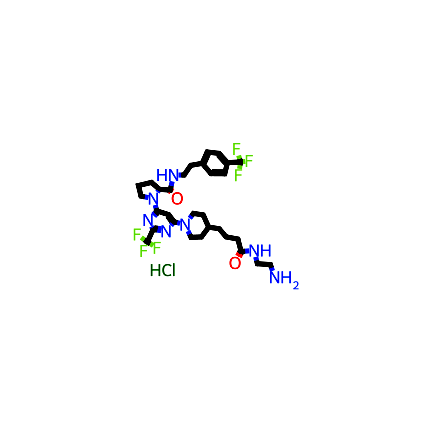 Cl.NCCNC(=O)CCCC1CCN(c2cc(N3CCCC3C(=O)NCCc3ccc(C(F)(F)F)cc3)nc(C(F)(F)F)n2)CC1